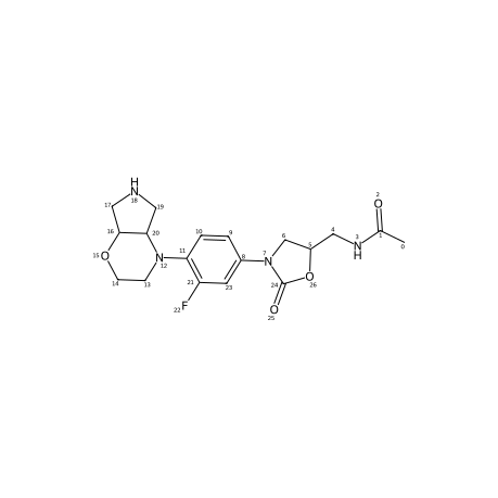 CC(=O)NCC1CN(c2ccc(N3CCOC4CNCC43)c(F)c2)C(=O)O1